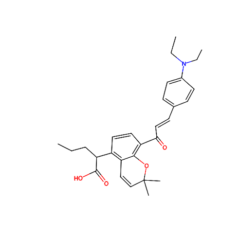 CCCC(C(=O)O)c1ccc(C(=O)/C=C/c2ccc(N(CC)CC)cc2)c2c1C=CC(C)(C)O2